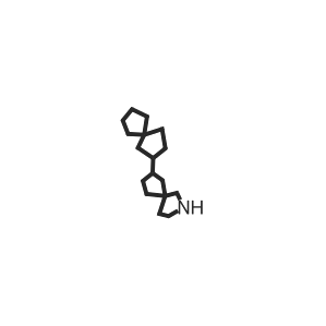 C1CCC2(C1)CCC(C1CCC3(CCNC3)C1)C2